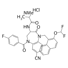 CNC(C)C(=O)NC1CN(C(=O)c2ccc(F)cc2)c2cc(C#N)ccc2N(Cc2c(OC(F)F)ccc3ccccc23)C1=O.Cl